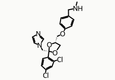 CNCc1ccc(OC[C@@H]2CO[C@@](Cn3ccnc3)(c3ccc(Cl)cc3Cl)O2)cc1